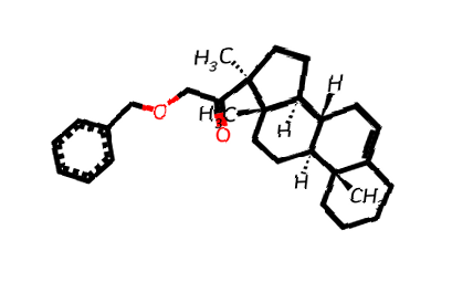 C[C@]12CCCCC1=CC[C@@H]1[C@@H]2CC[C@@]2(C)[C@H]1CC[C@]2(C)C(=O)COCc1ccccc1